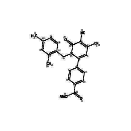 [C-]#[N+]c1c(C(F)(F)F)cc(-c2ccc(C(=O)OC)cc2)n(Cc2ccc(C)cc2C)c1=O